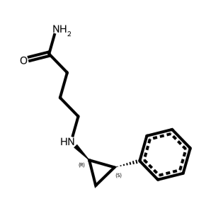 NC(=O)CCCN[C@@H]1C[C@H]1c1ccccc1